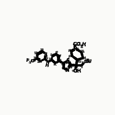 CC(C)(C)CC(O)(c1ncc(-c2cccc(Nc3nccc(C(F)(F)F)n3)c2)s1)C1CCN(C(=O)O)CC1